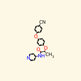 CC(Oc1ccc(Oc2ccc(C#N)cc2)cc1)C(=O)Nc1ccncc1